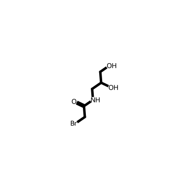 O=C(CBr)NCC(O)CO